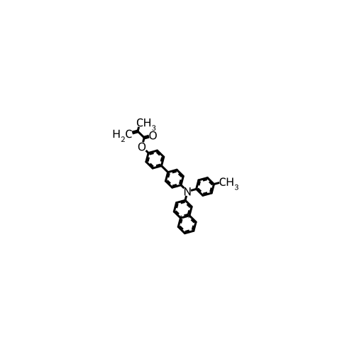 C=C(C)C(=O)Oc1ccc(-c2ccc(N(c3ccc(C)cc3)c3ccc4ccccc4c3)cc2)cc1